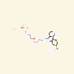 CN(CCCNc1nc2cc(C(N)=O)ccc2c2cnccc12)C(=O)CCNC(=O)OC(C)(C)C